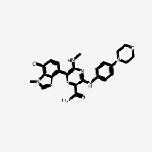 CNc1nc(Nc2ccc(N3CCOCC3)cc2)c(C(N)=O)nc1-c1ccc(Cl)c2c1ncn2C